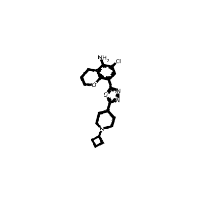 Nc1c(Cl)cc(-c2nnc(C3CCN(C4CCC4)CC3)o2)c2c1CCCO2